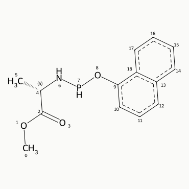 COC(=O)[C@H](C)NPOc1cccc2ccccc12